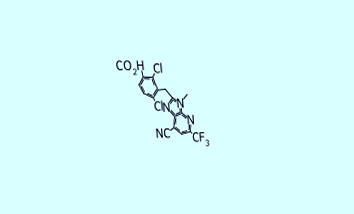 Cn1c(Cc2c(Cl)ccc(C(=O)O)c2Cl)nc2c(C#N)cc(C(F)(F)F)nc21